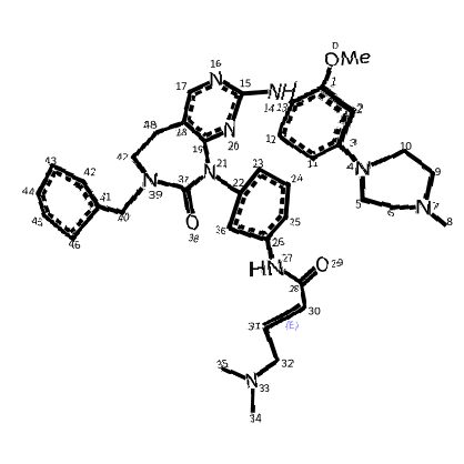 COc1cc(N2CCN(C)CC2)ccc1Nc1ncc2c(n1)N(c1cccc(NC(=O)/C=C/CN(C)C)c1)C(=O)N(Cc1ccccc1)CC2